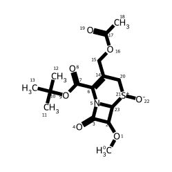 COC1C(=O)N2C(C(=O)OC(C)(C)C)=C(COC(C)=O)C[S+]([O-])C12